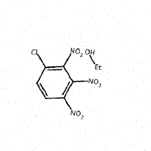 CCO.O=[N+]([O-])c1ccc(Cl)c([N+](=O)[O-])c1[N+](=O)[O-]